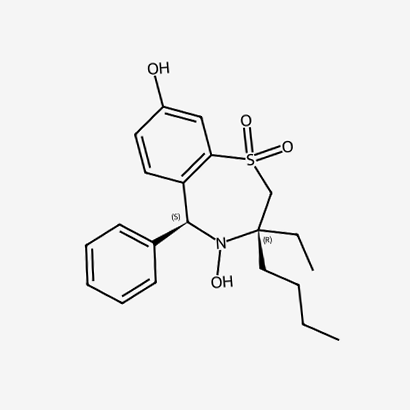 CCCC[C@]1(CC)CS(=O)(=O)c2cc(O)ccc2[C@H](c2ccccc2)N1O